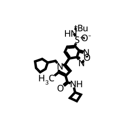 Cc1c(C(=O)NC2CCC2)cc(-c2ccc([S+]([O-])NC(C)(C)C)c3nonc23)n1CC1CCCCC1